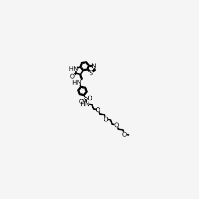 COCCOCCOCCOCCNS(=O)(=O)c1ccc(NC=C2C(=O)Nc3ccc4ncsc4c32)cc1